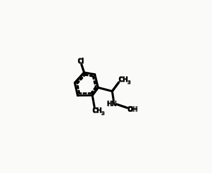 Cc1ccc(Cl)cc1C(C)NO